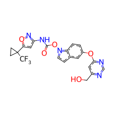 O=C(Nc1cc(C2(C(F)(F)F)CC2)on1)On1ccc2cc(Oc3cc(CO)ncn3)ccc21